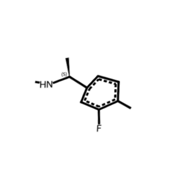 CN[C@@H](C)c1ccc(C)c(F)c1